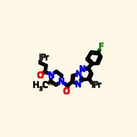 CC(C)CCC(=O)N1CCN(C(=O)c2cn3nc(-c4ccc(F)cc4)cc(C(C)C)c3n2)C[C@@H]1C